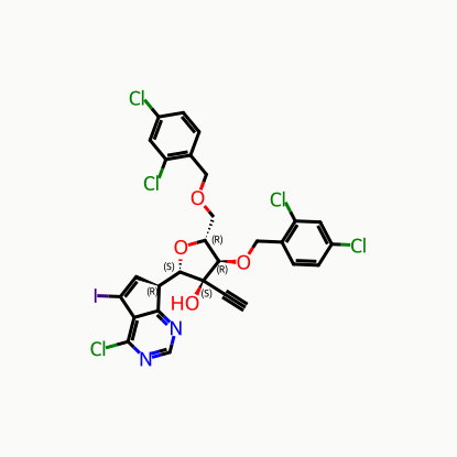 C#C[C@@]1(O)[C@H](OCc2ccc(Cl)cc2Cl)[C@@H](COCc2ccc(Cl)cc2Cl)O[C@H]1[C@@H]1C=C(I)c2c(Cl)ncnc21